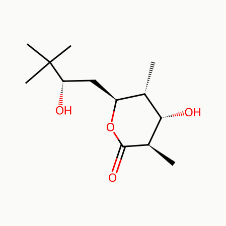 C[C@@H]1[C@H](O)[C@@H](C)C(=O)O[C@H]1C[C@H](O)C(C)(C)C